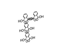 O=C(O)c1ccccc1C(=O)O.O=C(O)c1ccccc1C(=O)O.O=C(O)c1ccccc1C(=O)O.O=C(O)c1ccccc1C(=O)O